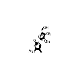 CSc1nc(=O)n([C@@H]2O[C@H](CO)[C@@H](O)[C@H]2O)cc1C